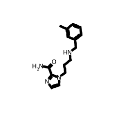 Cc1cccc(CNCCCn2c[c]nc2C(N)=O)c1